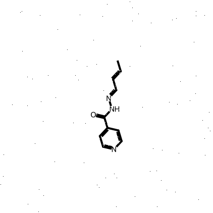 CC=CC=NNC(=O)c1ccncc1